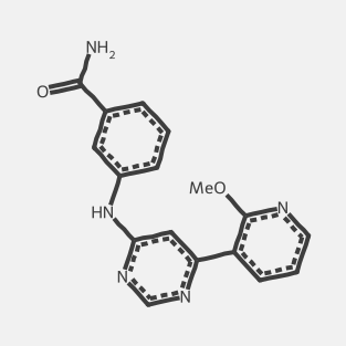 COc1ncccc1-c1cc(Nc2cccc(C(N)=O)c2)ncn1